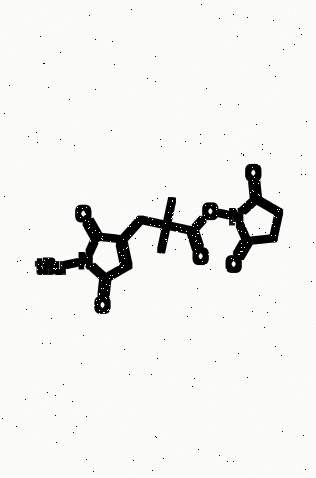 CC(C)(CC1=CC(=O)N(C(C)(C)C)C1=O)C(=O)ON1C(=O)CCC1=O